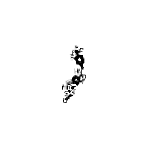 O=C(NCc1ccc(C(F)(F)F)c(F)c1)c1ccc(S(=O)(=O)Nc2ncc(Cl)s2)cc1F